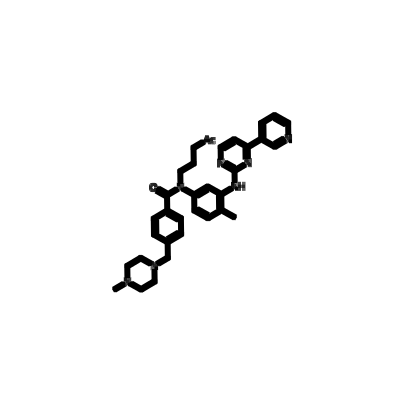 CC(=O)CCCN(C(=O)c1ccc(CN2CCN(C)CC2)cc1)c1ccc(C)c(Nc2nccc(-c3cccnc3)n2)c1